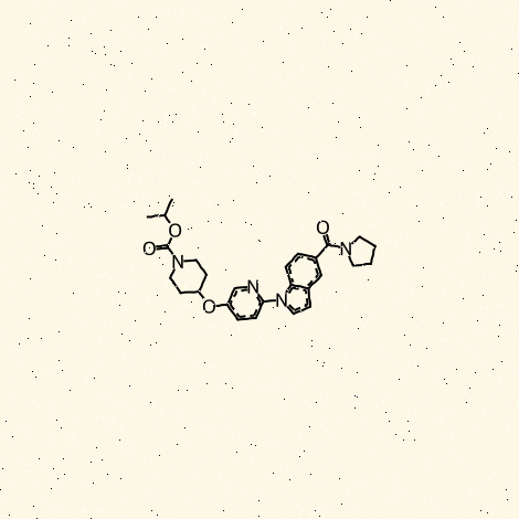 CC(C)OC(=O)N1CCC(Oc2ccc(-n3ccc4cc(C(=O)N5CCCC5)ccc43)nc2)CC1